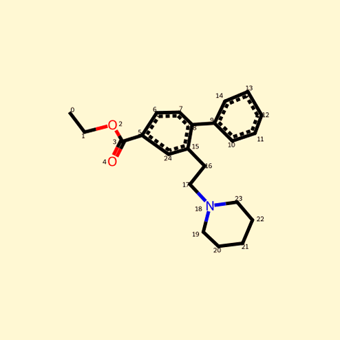 CCOC(=O)c1ccc(-c2ccccc2)c(CCN2CCCCC2)c1